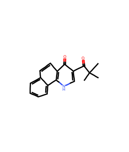 CC(C)(C)C(=O)c1c[nH]c2c(ccc3ccccc32)c1=O